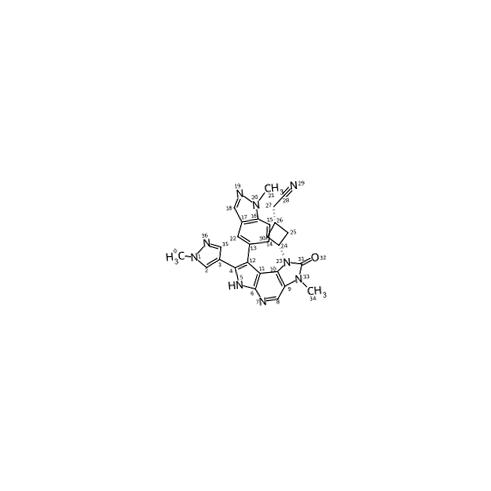 Cn1cc(-c2[nH]c3ncc4c(c3c2-c2ccc3c(cnn3C)c2)n([C@H]2C[C@@H](CC#N)C2)c(=O)n4C)cn1